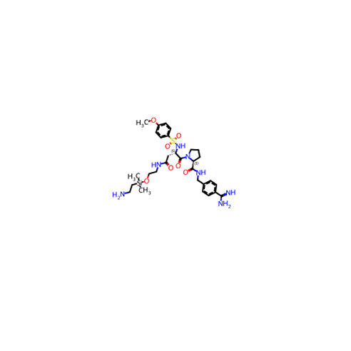 COc1ccc(S(=O)(=O)N[C@@H](CC(=O)NCCO[Si](C)(C)CCN)C(=O)N2CCC[C@H]2C(=O)NCc2ccc(C(=N)N)cc2)cc1